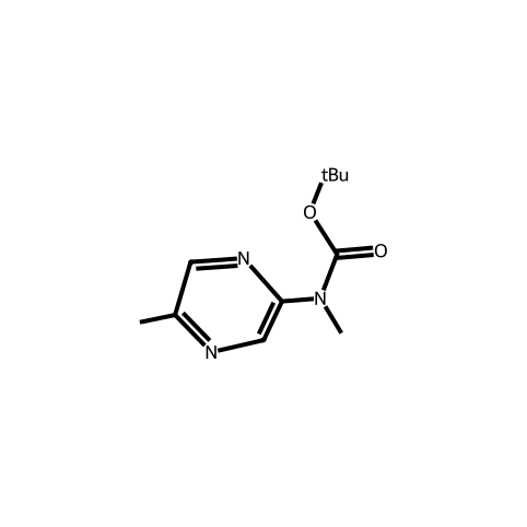 Cc1cnc(N(C)C(=O)OC(C)(C)C)cn1